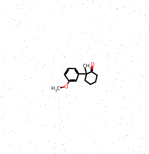 COc1cccc(C2(C)CCCCC2=O)c1